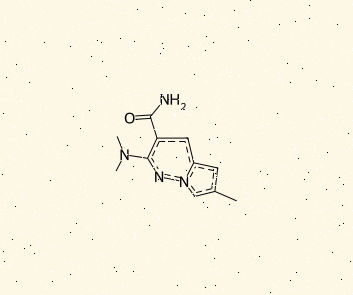 Cc1cc2cc(C(N)=O)c(N(C)C)nn2c1